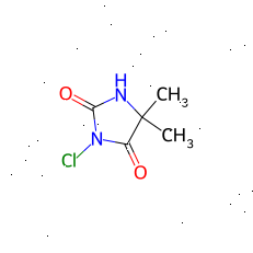 CC1(C)NC(=O)N(Cl)C1=O